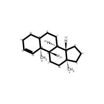 C[C@@]12CCC[C@H]1[C@@H]1CCC3CCC=C[C@]3(C)[C@H]1CC2